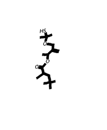 C=C(COC(C)(C)S)C(C)OC(=O)C(C)CC(C)(C)C